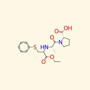 CCOC(=O)C(CSc1ccccc1)N[C@@H](C)C(=O)N1CCC[C@H]1C(=O)O